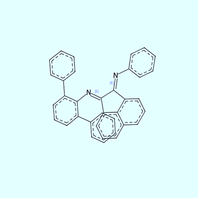 c1ccc(/N=C2/C(=N/c3c(-c4ccccc4)cccc3-c3ccccc3)c3cccc4cccc2c34)cc1